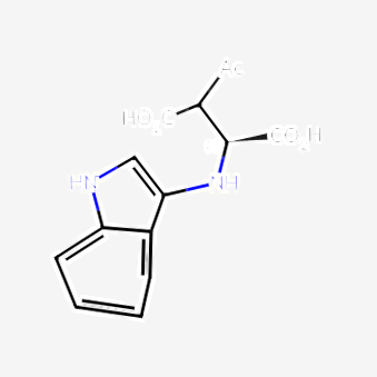 CC(=O)C(C(=O)O)[C@H](Nc1c[nH]c2ccccc12)C(=O)O